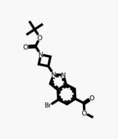 COC(=O)c1cc(Br)c2cn(C3CN(C(=O)OC(C)(C)C)C3)nc2c1